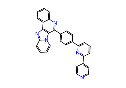 c1cc(-c2ccncc2)nc(-c2ccc(-c3nc4ccccc4c4nc5ccccn5c34)cc2)c1